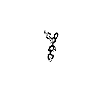 CCN1CCN(c2nc(-c3ccc(C4CCOCC4)nc3)cc3ccccc23)CC1